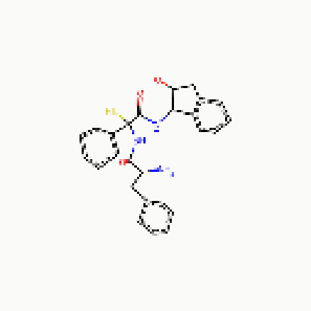 N[C@@H](Cc1ccccc1)C(=O)NC(S)(C(=O)NC1c2ccccc2CC1O)c1ccccc1